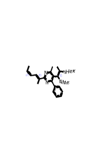 C/C=C\C=C(/C)c1nc(C)c(/C(NC)=C(\C)CCCCCC)c(-c2ccccc2)n1